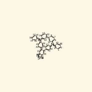 c1ccc(N(c2ccccc2)c2ccc(-c3cc4nsnc4cc3-c3ccc(N(c4ccccc4)c4ccccc4)cc3)cc2)cc1